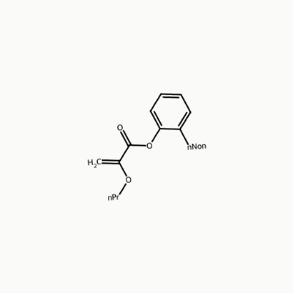 C=C(OCCC)C(=O)Oc1ccccc1CCCCCCCCC